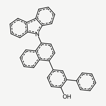 Oc1ccc(-c2ccc(-n3c4ccccc4c4ccccc43)c3ccccc23)cc1-c1ccccc1